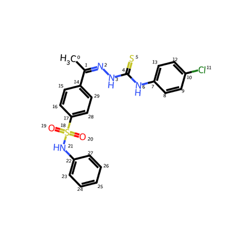 CC(=NNC(=S)Nc1ccc(Cl)cc1)c1ccc(S(=O)(=O)Nc2ccccc2)cc1